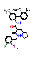 C=C1C(C(=O)Nc2ccc(C(F)(F)F)cc2-c2cccc(CC)c2OC)=CC2CCCN2N1Cc1cccc(F)c1P